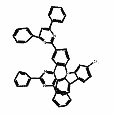 FC(F)(F)c1ccc2c3ccccc3n(-c3ccc(-c4nc(-c5ccccc5)cc(-c5ccccc5)n4)cc3-c3cc(-c4ccccc4)nc(-c4ccccc4)n3)c2c1